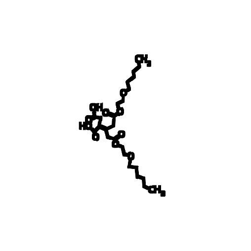 CCCCCCOCCOC(=O)CC(CC(=O)OCCOCCCCCC)=C(CC(=O)O)C(=O)O